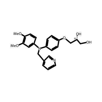 COc1ccc(N(Cc2cccnc2)c2ccc(OC[C@H](O)CO)cc2)cc1OC